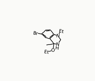 CCOC1(C)NCN(CC)c2ccc(Br)cc21